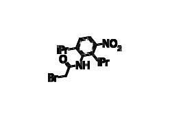 CC(C)c1ccc([N+](=O)[O-])c(C(C)C)c1NC(=O)CBr